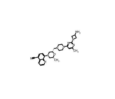 Cc1cc(N2CCN(C[C@H]3CN(c4ccc(C#N)c5cccnc45)C[C@@H](C)O3)CC2)nc(N2CC(N)C2)n1